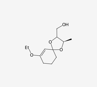 CCOC1=CC2(CCC1)OC(CO)[C@@H](C)O2